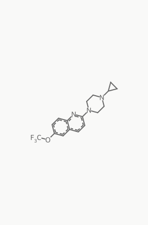 FC(F)(F)Oc1ccc2nc(N3CCN(C4CC4)CC3)ccc2c1